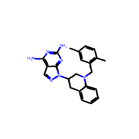 Cc1ccc(C)c(CN2CC(n3ncc4c(N)nc(N)nc43)Cc3ccccc32)c1